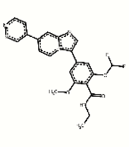 CCNC(=O)c1c(OC)cc(-c2cnc3cc(-c4ccnnc4)ccn23)cc1OC(F)F